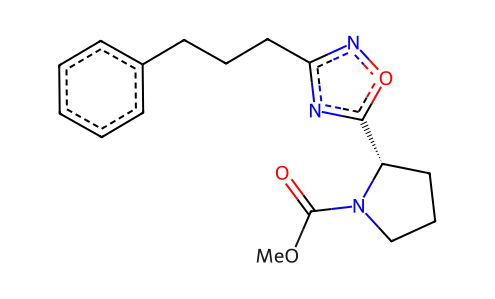 COC(=O)N1CCC[C@H]1c1nc(CCCc2ccccc2)no1